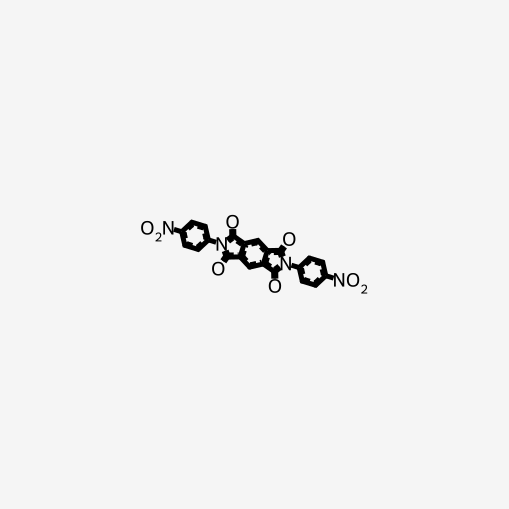 O=c1c2cc3c(=O)n(-c4ccc([N+](=O)[O-])cc4)c(=O)c3cc2c(=O)n1-c1ccc([N+](=O)[O-])cc1